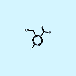 CCC(=O)c1ccc(F)cc1CN